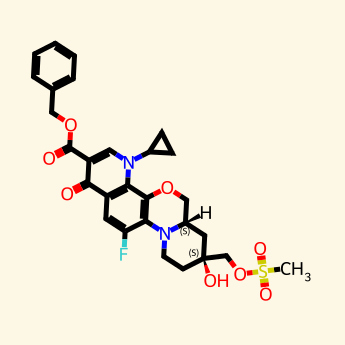 CS(=O)(=O)OC[C@]1(O)CCN2c3c(F)cc4c(=O)c(C(=O)OCc5ccccc5)cn(C5CC5)c4c3OC[C@@H]2C1